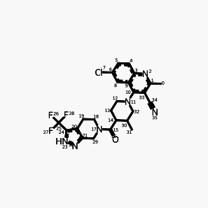 Cc1nc2ccc(Cl)cc2c(N2CCC(C(=O)N3CCc4c(n[nH]c4C(F)(F)F)C3)C(C)C2)c1C#N